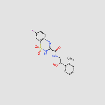 COc1ccccc1C(O)CNC(=O)C1=Nc2ccc(I)cc2S(=O)(=O)N1